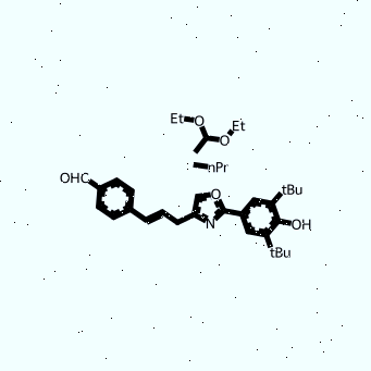 CC(C)(C)c1cc(-c2nc(C/C=C/c3ccc(C=O)cc3)co2)cc(C(C)(C)C)c1O.CCCC.CCOC(C)OCC